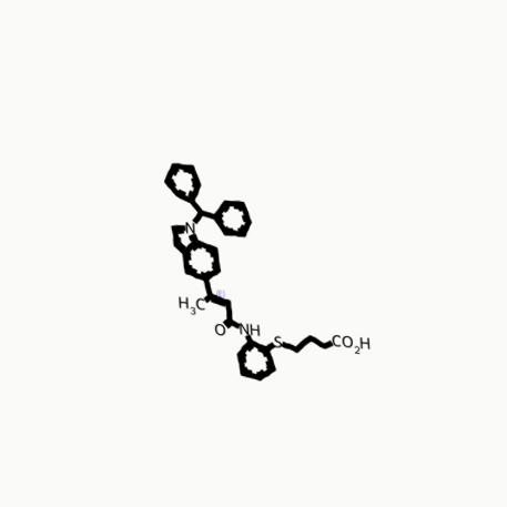 C/C(=C\C(=O)Nc1ccccc1SCCCC(=O)O)c1ccc2c(ccn2C(c2ccccc2)c2ccccc2)c1